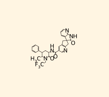 CC1C(c2ccccc2)CC(NC(=O)c2cnc3c(c2)CC2(C3)C(=O)Nc3ncccc32)C(=O)N1CC(F)(F)F